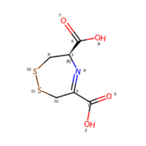 O=C(O)C1=N[C@H](C(=O)O)CSSC1